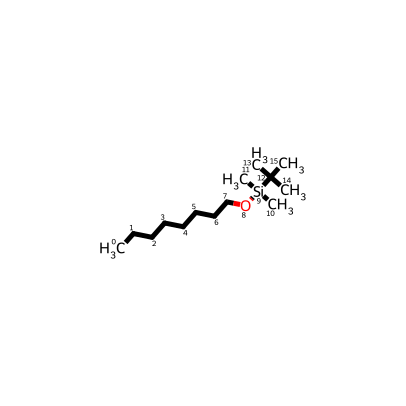 CCCCCCCCO[Si](C)(C)C(C)(C)C